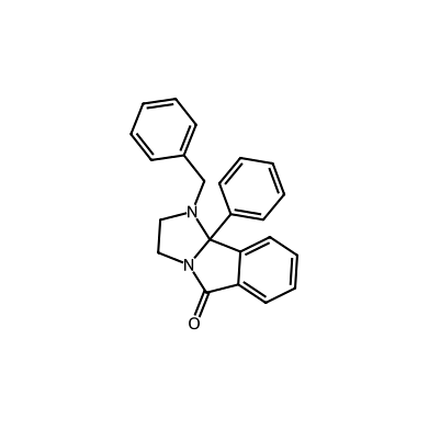 O=C1c2ccccc2C2(c3ccccc3)N(Cc3ccccc3)CCN12